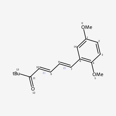 COc1ccc(OC)c(/C=C/C=C/C(=O)C(C)(C)C)c1